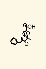 Cc1c(=O)c(Cc2ccccc2)cn2cc(C(=O)O)oc12